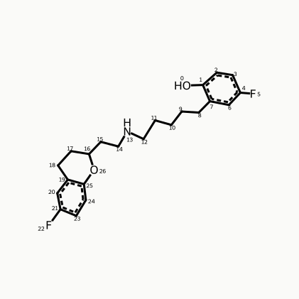 Oc1ccc(F)cc1CCCCCNCCC1CCc2cc(F)ccc2O1